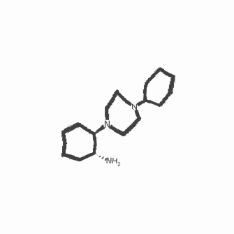 N[C@@H]1CCCC[C@H]1N1CCN(C2CCCCC2)CC1